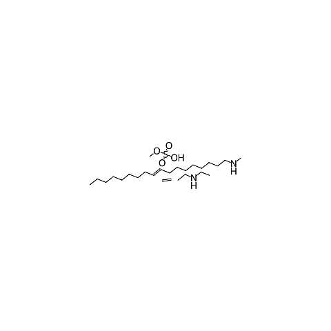 C=C.CCCCCCCCC=CCCCCCCCCNC.CCNCC.COS(=O)(=O)O